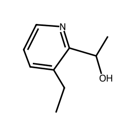 CCc1cccnc1C(C)O